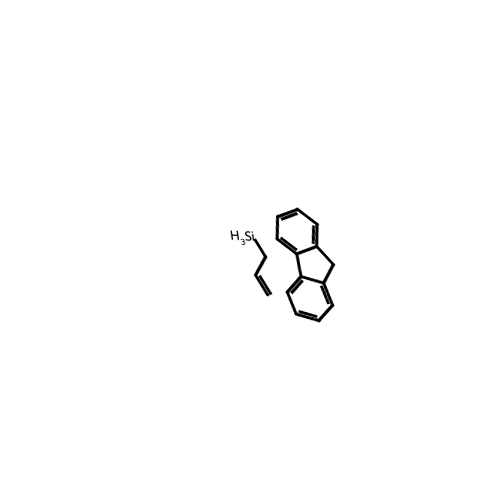 C=CC[SiH3].c1ccc2c(c1)Cc1ccccc1-2